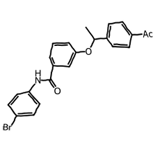 CC(=O)c1ccc(C(C)Oc2cccc(C(=O)Nc3ccc(Br)cc3)c2)cc1